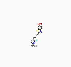 CNc1ccc(C=CC=Cc2nc3ccc(O)cc3s2)c(F)n1